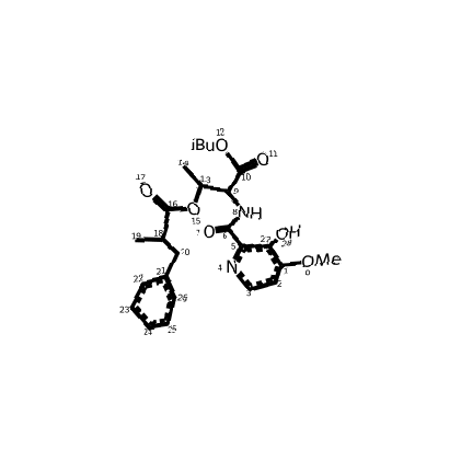 COc1ccnc(C(=O)NC(C(=O)OCC(C)C)C(C)OC(=O)C(C)Cc2ccccc2)c1O